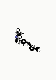 O=C1NC(=O)/C(=C\c2ccnc(N3CCC(CNCc4cccc(-c5ccoc5)n4)CC3)n2)S1